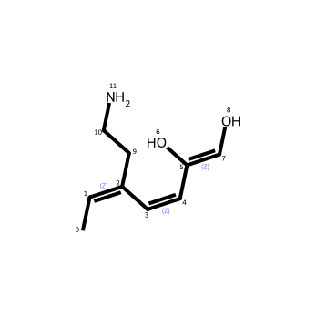 C\C=C(/C=C\C(O)=C\O)CCN